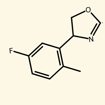 Cc1ccc(F)cc1C1CO[C]=N1